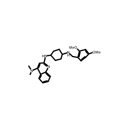 COc1ccc(CNC2CCC(Nc3cc(N(C)C)c4ccccc4n3)CC2)c(OC)c1